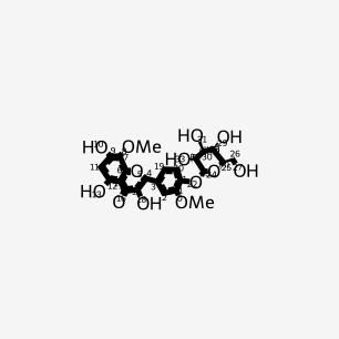 COc1cc(-c2oc3c(OC)c(O)cc(O)c3c(=O)c2O)ccc1OC1O[C@H](CO)[C@@H](O)[C@H](O)[C@H]1O